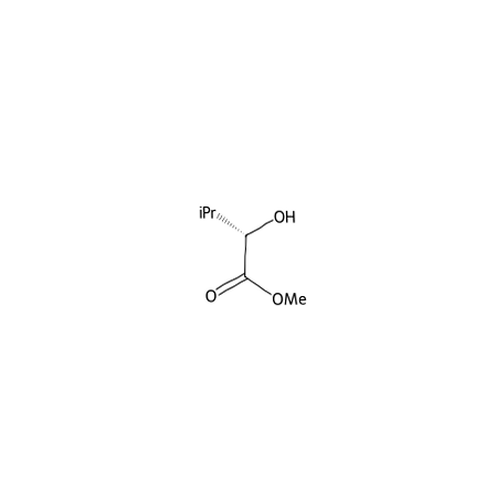 COC(=O)[C@@H](O)C(C)C